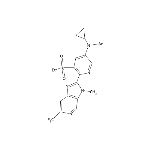 CCS(=O)(=O)c1cc(N(C(C)=O)C2CC2)cnc1-c1nc2cc(C(F)(F)F)ncc2n1C